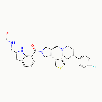 O=CNCc1cc2cccc(C(=O)N3C[C@@H](CN4CCC(c5ccc(F)cc5)CC4)[C@H](c4ccsc4)C3)c2[nH]1